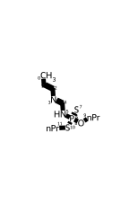 CC=CN=CNP(=S)(OCCC)SCCC